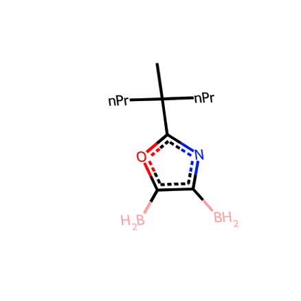 Bc1nc(C(C)(CCC)CCC)oc1B